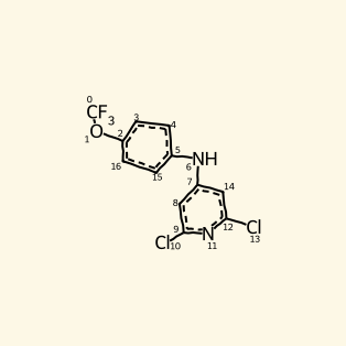 FC(F)(F)Oc1ccc(Nc2cc(Cl)nc(Cl)c2)cc1